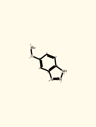 CCC(C)Oc1ccc2[nH]nnc2c1